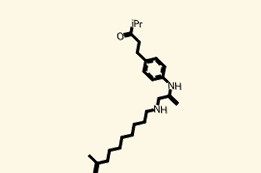 C=C(C)CCCCCCCCNCC(=C)Nc1ccc(CCC(=O)C(C)C)cc1